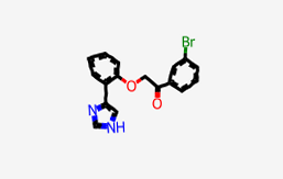 O=C(COc1ccccc1-c1c[nH]cn1)c1cccc(Br)c1